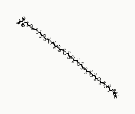 C=CS(=O)(=O)CCOCCOCCOCCOCCOCCOCCOCCOCCOCCOCCOCCOCCN=[N+]=[N-]